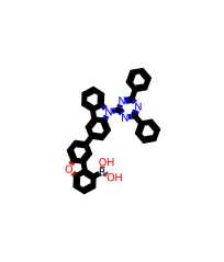 OB(O)c1cccc2oc3ccc(-c4ccc5c(c4)c4ccccc4n5-c4nc(-c5ccccc5)nc(-c5ccccc5)n4)cc3c12